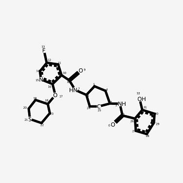 O=C(NC1CCC(NC(=O)c2cc(F)cnc2OC2CCSCC2)CC1)c1ccccc1O